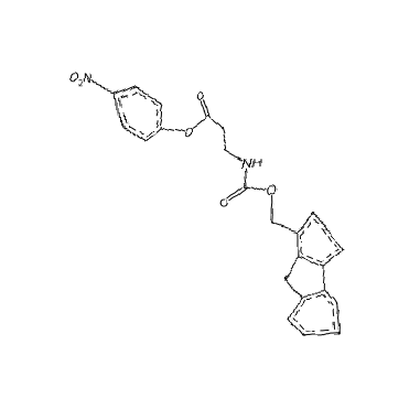 O=C(CCNC(=O)OCc1cccc2c1Cc1ccccc1-2)Oc1ccc([N+](=O)[O-])cc1